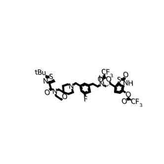 CC(C)(C)c1nc(C(=O)N2CCOC3(CCN(Cc4cc(F)cc(CCNC[C@H](OC(=O)C(F)(F)F)c5ccc(OC(=O)C(F)(F)F)c6[nH]c(=O)sc56)c4)CC3)C2)cs1